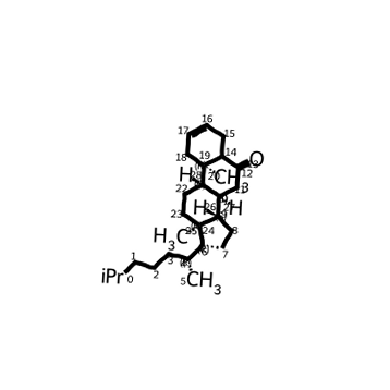 CC(C)CCC[C@@H](C)[C@H]1CC[C@H]2[C@@H]3CC(=O)C4CC=CC[C@]4(C)[C@H]3CC[C@]12C